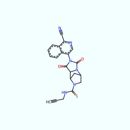 C#CCNC(=S)N1CC2CC1C1C(=O)N(c3cnc(C#N)c4ccccc34)C(=O)N21